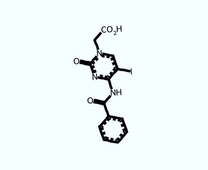 O=C(O)Cn1cc(I)c(NC(=O)c2ccccc2)nc1=O